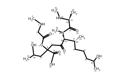 CNCC(=O)OC(CC(=O)[C@H]([C@H](C)CCCC(C)O)N(C)C(=O)[C@H](C)NC)(CC(C)O)C(=O)O